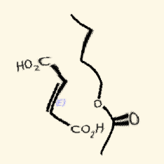 CCCCOC(C)=O.O=C(O)/C=C/C(=O)O